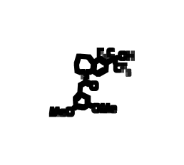 COc1cc(CC(=O)N2CCCCc3cc(C(O)(C(F)(F)F)C(F)(F)F)ccc32)cc(OC)c1